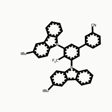 CC(C)(C)c1ccc2c(c1)c1ccccc1n2-c1cc(-c2cccc(C#N)c2)cc(-n2c3ccccc3c3cc(C(C)(C)C)ccc32)c1C(F)(F)F